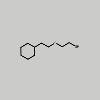 SCCSCCC1CCCCC1